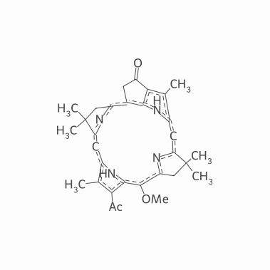 COc1c2nc(cc3[nH]c4c(c5nc(cc6[nH]c1c(C(C)=O)c6C)C(C)(C)C5)CC(=O)c4c3C)C(C)(C)C2